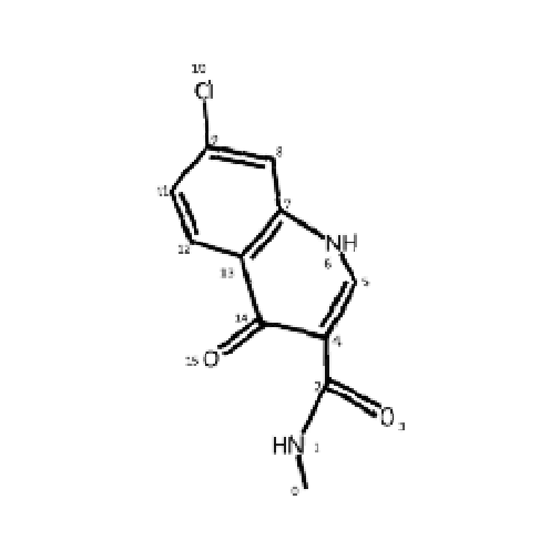 CNC(=O)c1c[nH]c2cc(Cl)ccc2c1=O